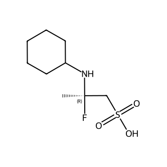 C[C@@](F)(CS(=O)(=O)O)NC1CCCCC1